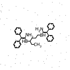 CCC(BC(N)=C(c1ccccc1)c1ccccc1)CCCBC(N)=C(c1ccccc1)c1ccccc1